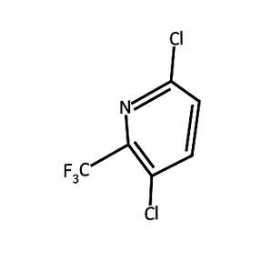 FC(F)(F)c1nc(Cl)ccc1Cl